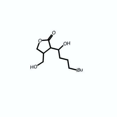 CCC(C)CCCC(O)C1C(=O)OCC1CO